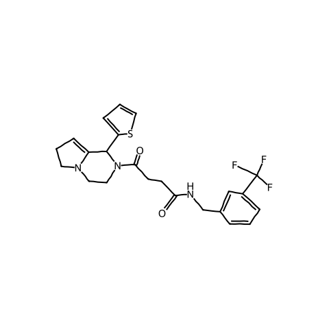 O=C(CCC(=O)N1CCN2CCC=C2C1c1cccs1)NCc1cccc(C(F)(F)F)c1